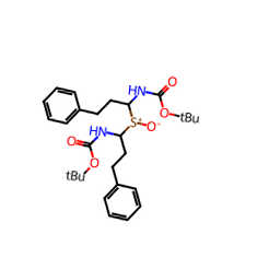 CC(C)(C)OC(=O)NC(CCc1ccccc1)[S+]([O-])C(CCc1ccccc1)NC(=O)OC(C)(C)C